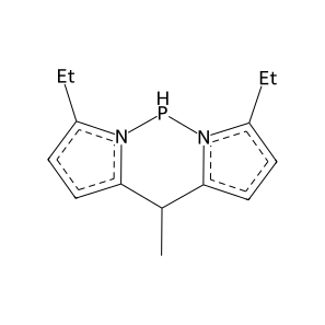 CCc1ccc2n1Pn1c(CC)ccc1C2C